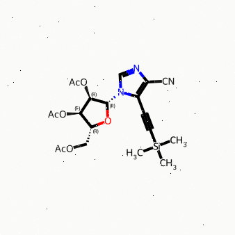 CC(=O)OC[C@H]1O[C@@H](n2cnc(C#N)c2C#C[Si](C)(C)C)[C@H](OC(C)=O)[C@@H]1OC(C)=O